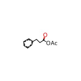 [CH2]C(=O)OC(=O)CCc1ccccc1